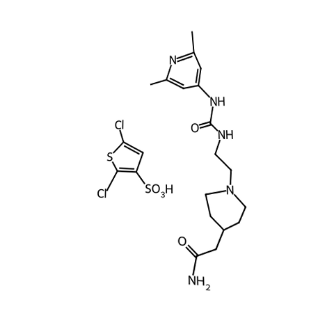 Cc1cc(NC(=O)NCCN2CCC(CC(N)=O)CC2)cc(C)n1.O=S(=O)(O)c1cc(Cl)sc1Cl